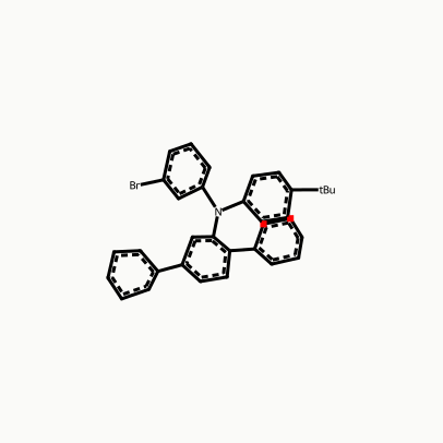 CC(C)(C)c1ccc(N(c2cccc(Br)c2)c2cc(-c3ccccc3)ccc2-c2ccccc2)cc1